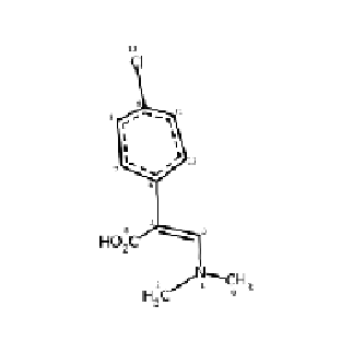 CN(C)C=C(C(=O)O)c1ccc(Cl)cc1